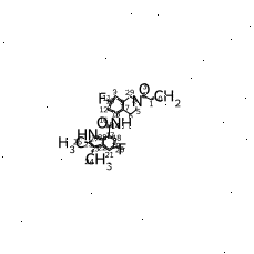 C=CC(=O)N1CCc2c(cc(F)cc2NC(=O)c2cc(F)cc3c(C)c(C)[nH]c23)C1